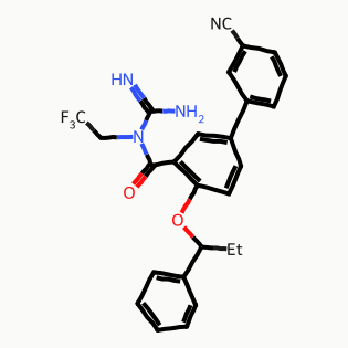 CCC(Oc1ccc(-c2cccc(C#N)c2)cc1C(=O)N(CC(F)(F)F)C(=N)N)c1ccccc1